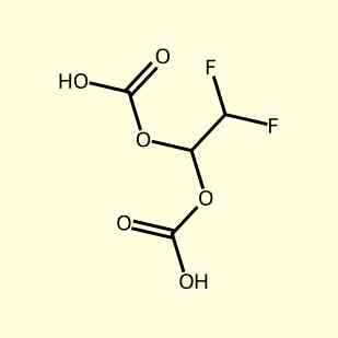 O=C(O)OC(OC(=O)O)C(F)F